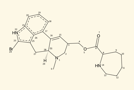 CN1CC(COC(=O)C2CCCCCN2)C=C2c3cccc4[nH]c(Br)c(c34)C[C@@H]21